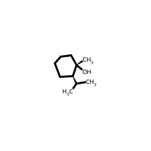 CC(C)[C@H]1CCCC[C@]1(C)O